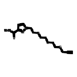 C#CCOCCOCCOCCn1ccc(C(=O)OC)n1